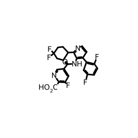 O=C(Nc1c(-c2cc(F)ccc2F)ccnc1C1CCC(F)(F)CC1)c1cnc(C(=O)O)c(F)c1